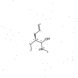 C=CC[C@H](CC)C(O)NC